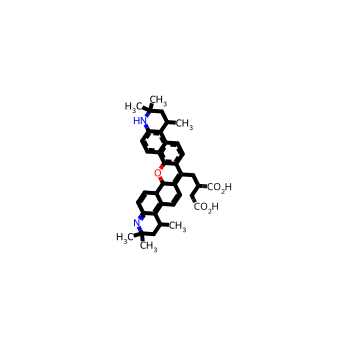 CC1CC(C)(C)N=C2C=CC3C(=C21)C=CC1=C(CC(CC(=O)O)C(=O)O)c2ccc4c5c(ccc4c2OC13)NC(C)(C)CC5C